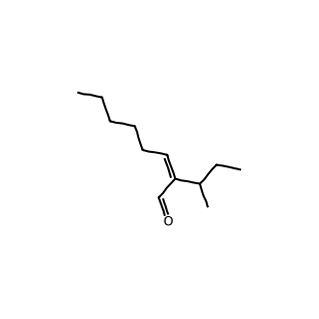 CCCCCC=C(C=O)C(C)CC